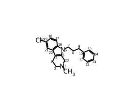 CN1CCc2c(n(CCCc3ccccc3)c3ccc(Cl)cc23)C1